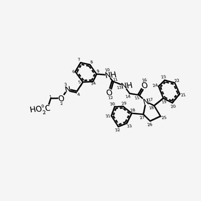 O=C(O)CO/N=C/c1cccc(NC(=O)NCC(=O)N2C(c3ccccc3)CCC2c2ccccc2)c1